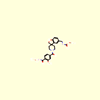 CC(C)(C)ONC(=O)c1ccc(C(=O)N2CCC3(CC2)COc2ccc(CNC(=O)OC(C)(C)C)cc23)cc1O